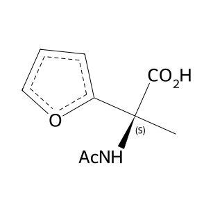 CC(=O)N[C@](C)(C(=O)O)c1ccco1